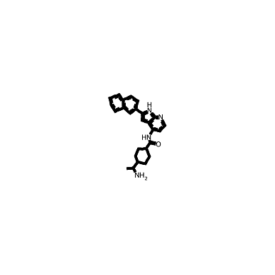 CC(N)C1CCC(C(=O)Nc2ccnc3[nH]c(-c4ccc5ccccc5c4)cc23)CC1